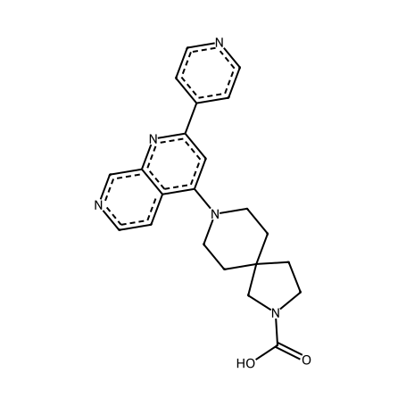 O=C(O)N1CCC2(CCN(c3cc(-c4ccncc4)nc4cnccc34)CC2)C1